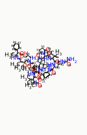 CC[C@H](C)[C@H](NC(=O)C(NC(=O)C(C(C)C)N(C)C(=O)OCc1ccc(NC(=O)[C@H](CCCNC(N)=O)NC(=O)C(NC(=O)C(CN)N2C(=O)CCC2=O)C(C)C)cc1)C(C)C)[C@@H](CC(=O)N1CCC[C@H]1[C@H](OC)[C@@H](C)C(=O)N[C@H](C)[C@@H](O)c1ccccc1)OC